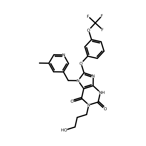 Cc1cncc(Cn2c(Oc3cccc(OC(F)(F)F)c3)nc3[nH]c(=O)n(CCCO)c(=O)c32)c1